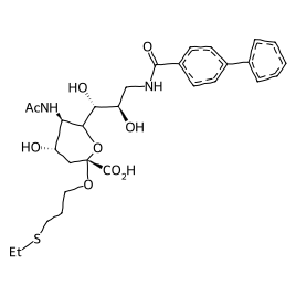 CCSCCCO[C@]1(C(=O)O)C[C@H](O)[C@@H](NC(C)=O)C([C@H](O)[C@H](O)CNC(=O)c2ccc(-c3ccccc3)cc2)O1